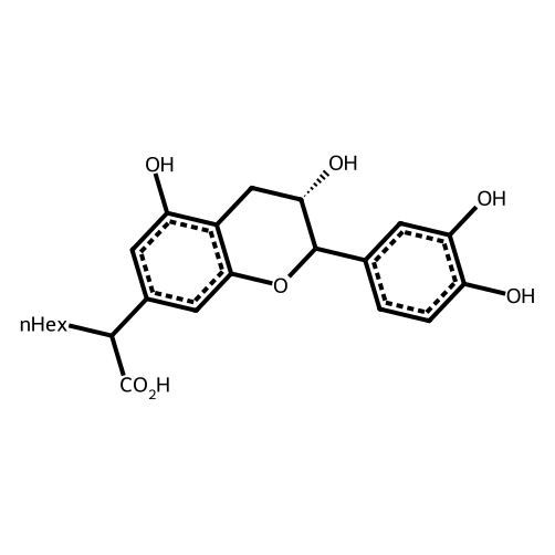 CCCCCCC(C(=O)O)c1cc(O)c2c(c1)OC(c1ccc(O)c(O)c1)[C@@H](O)C2